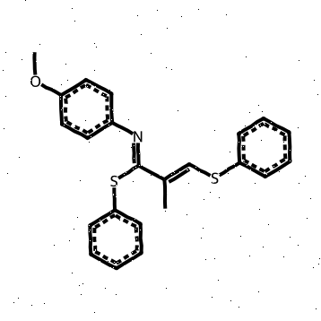 COc1ccc(N=C(Sc2ccccc2)C(C)=CSc2ccccc2)cc1